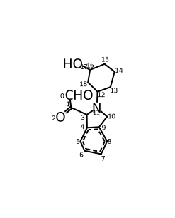 O=CC(=O)C1c2ccccc2CN1C1CCCC(O)C1